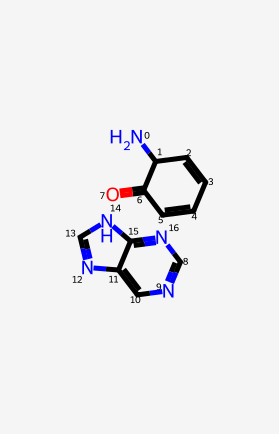 NC1C=CC=CC1=O.c1ncc2nc[nH]c2n1